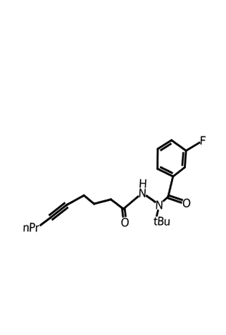 CCCC#CCCCC(=O)NN(C(=O)c1cccc(F)c1)C(C)(C)C